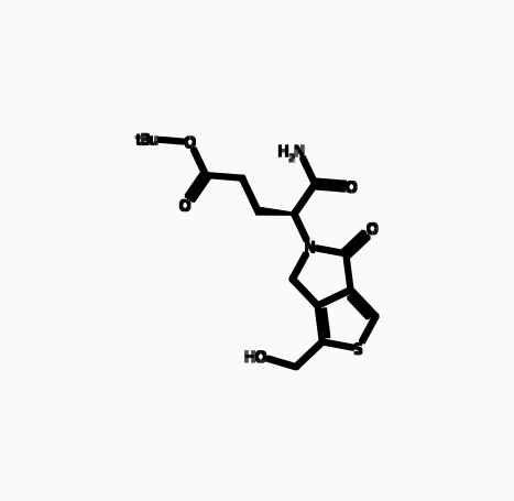 CC(C)(C)OC(=O)CC[C@@H](C(N)=O)N1Cc2c(csc2CO)C1=O